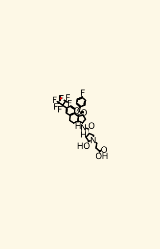 O=C(O)CCN1C[C@@H](C(=O)N[C@@H]2CC[C@@]3(S(=O)(=O)c4ccc(F)cc4)c4ccc(C(F)(C(F)(F)F)C(F)(F)F)cc4CC[C@@H]23)CC1O